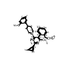 COc1ccccc1C1CCN(c2nc(C3CC3)nc(C)c2-c2ccccc2CC=O)CC1